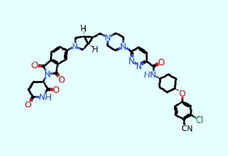 N#Cc1ccc(O[C@H]2CC[C@H](NC(=O)c3ccc(N4CCN(CC5[C@H]6CN(c7ccc8c(c7)C(=O)N(C7CCC(=O)NC7=O)C8=O)C[C@@H]56)CC4)nn3)CC2)cc1Cl